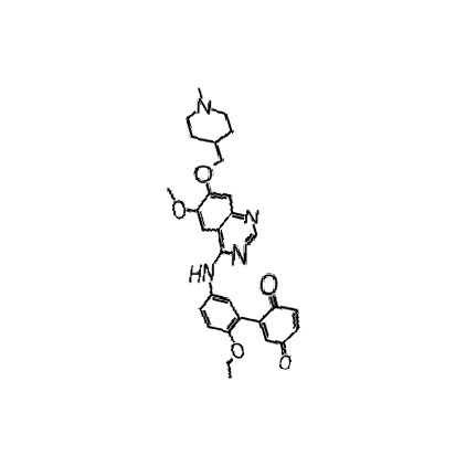 CCOc1ccc(Nc2ncnc3cc(OCC4CCN(C)CC4)c(OC)cc23)cc1C1=CC(=O)C=CC1=O